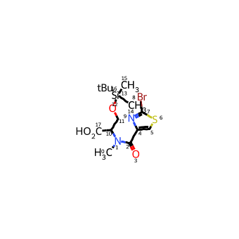 CN(C(=O)c1csc(Br)n1)C(CO[Si](C)(C)C(C)(C)C)C(=O)O